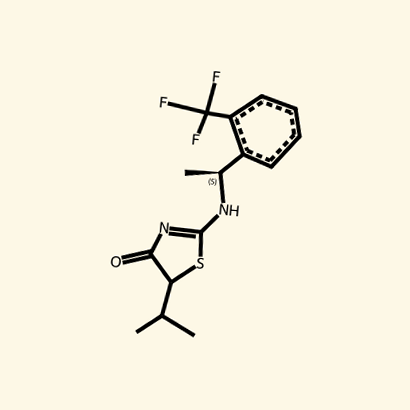 CC(C)C1SC(N[C@@H](C)c2ccccc2C(F)(F)F)=NC1=O